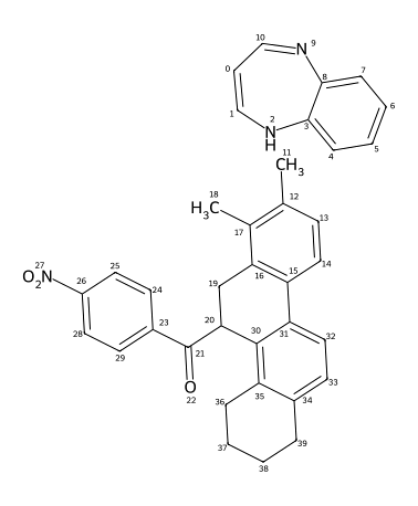 C1=CNc2ccccc2N=C1.Cc1ccc2c(c1C)CC(C(=O)c1ccc([N+](=O)[O-])cc1)c1c-2ccc2c1CCCC2